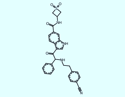 N#Cc1ccc(CCNC(C(=O)c2c[nH]c3cc(C(=O)NC4CS(=O)(=O)C4)ccc23)c2ccccc2)cc1